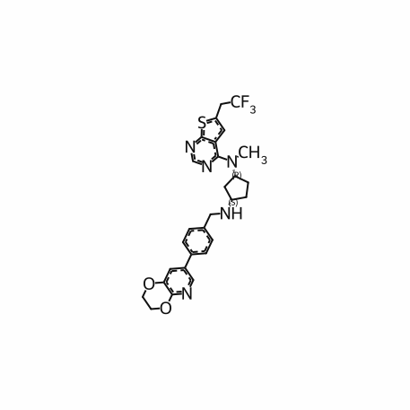 CN(c1ncnc2sc(CC(F)(F)F)cc12)[C@@H]1CC[C@H](NCc2ccc(-c3cnc4c(c3)OCCO4)cc2)C1